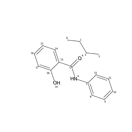 CCCC.O=C(Nc1ccccc1)c1ccccc1O